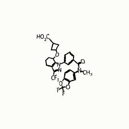 CN(C(=O)c1cccc(-n2nc(C(F)(F)F)c3c2C(OC2CC(C(=O)O)C2)CCC3)c1)c1ccc2c(c1)OC(F)(F)O2